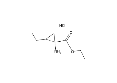 CCOC(=O)C1(N)CC1CC.Cl